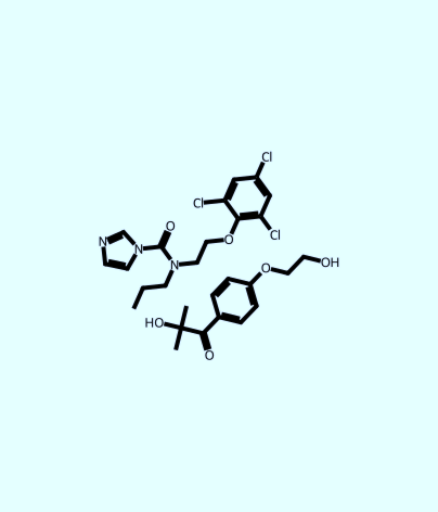 CC(C)(O)C(=O)c1ccc(OCCO)cc1.CCCN(CCOc1c(Cl)cc(Cl)cc1Cl)C(=O)n1ccnc1